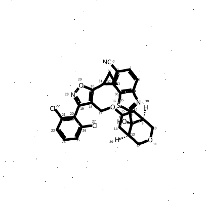 N#Cc1ccc2nc([C@]3(O)[C@@H]4COC[C@H]3CC(OCc3c(-c5c(Cl)cccc5Cl)noc3C3CC3)C4)sc2c1